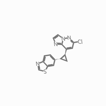 Clc1cc([C@H]2C[C@@H]2c2ccc3ncsc3c2)c2nccn2n1